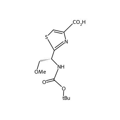 COC[C@@H](NC(=O)OC(C)(C)C)c1nc(C(=O)O)cs1